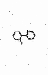 FN1CC=CC=C1c1ccccn1